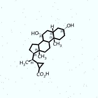 C[C@H](C1CC1C(=O)O)[C@H]1CCC2C3C(CC[C@@]21C)[C@@]1(C)CC[C@@H](O)C[C@H]1C[C@H]3O